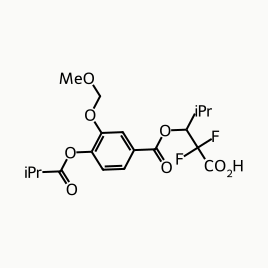 COCOc1cc(C(=O)OC(C(C)C)C(F)(F)C(=O)O)ccc1OC(=O)C(C)C